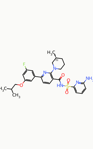 CC(C)COc1cc(F)cc(-c2ccc(C(=O)NS(=O)(=O)c3cccc(N)n3)c(N3CCC[C@H](C)C3)n2)c1